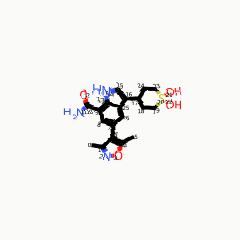 Cc1noc(C)c1-c1cc(C(N)=O)c2[nH]cc(C3CCS(O)(O)CC3)c2c1